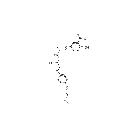 COCCOc1ccc(OCC(O)CNC(C)COc2ccc(O)c(C(N)=O)c2)cc1